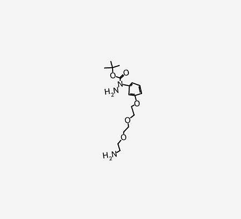 CC(C)(C)OC(=O)N(N)c1cccc(OCCOCCOCCN)c1